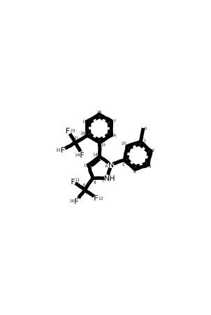 Cc1cccc(N2NC(C(F)(F)F)C=C2c2ccccc2C(F)(F)F)c1